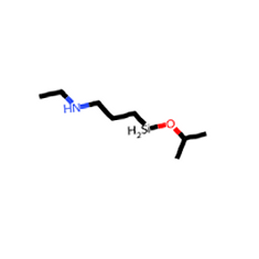 CCNCCC[SiH2]OC(C)C